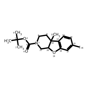 CC(C)(C)OC(=O)N1CCC2(C)c3ccc(I)cc3OC2C1